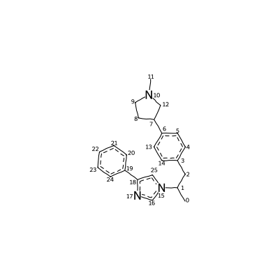 CC(Cc1ccc(C2CCN(C)C2)cc1)n1cnc(-c2ccccc2)c1